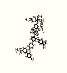 CN1CCC(Cc2ccc(S(=O)(=O)NC(=O)c3ccc(N4CCN(CC5=C(c6ccc(Cl)cc6)CC(C)(C)CC5)CC4)cc3Oc3ccc4[nH]ccc4c3)c(N)c2[N+](=O)[O-])(N(C)C)CC1